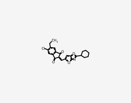 CCc1cc2c(cc1Cl)C(=O)/C(=C/c1cc3oc(C4CCCCC4)nc3o1)C2=O